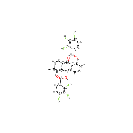 Cc1ccc2c(OC(=O)c3ccc(F)c(F)c3F)c3cc(C)ccc3c(OC(=O)c3ccc(F)c(F)c3F)c2c1